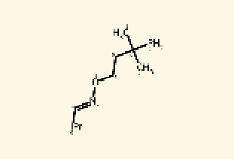 CC(C)/C=N/OCCC(C)(C)P